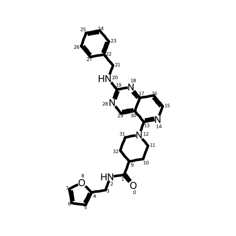 O=C(NCc1ccco1)C1CCN(c2nccc3nc(NCc4ccccc4)ncc23)CC1